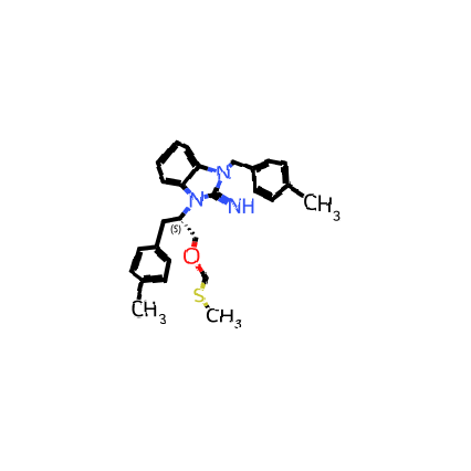 CSCOC[C@H](Cc1ccc(C)cc1)n1c(=N)n(Cc2ccc(C)cc2)c2ccccc21